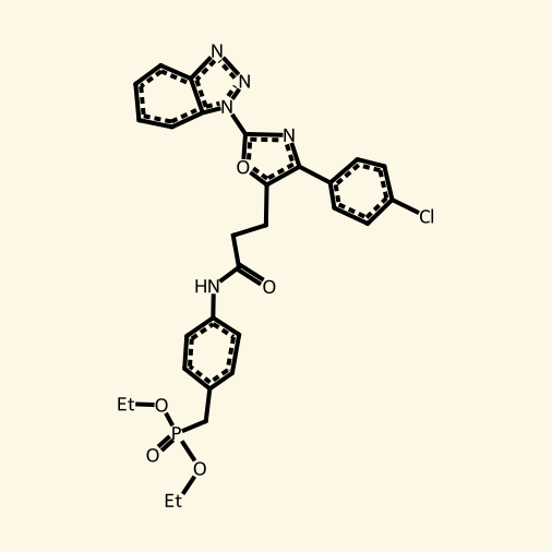 CCOP(=O)(Cc1ccc(NC(=O)CCc2oc(-n3nnc4ccccc43)nc2-c2ccc(Cl)cc2)cc1)OCC